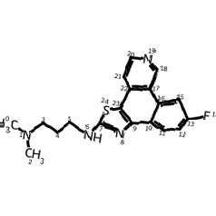 CN(C)CCCNc1nc2c3ccc(F)cc3c3cnccc3c2s1